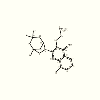 CCOC(=O)CCn1c(N2CC3(C)CC2CC(C)(C)C3)nc2c(C)cccc2c1=O